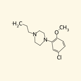 [CH2]CCN1CCN(c2cc(Cl)ccc2OC)CC1